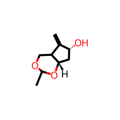 C=C1C2COC(C)O[C@H]2C[C@H]1O